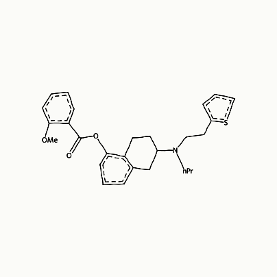 CCCN(CCc1cccs1)C1CCc2c(cccc2OC(=O)c2ccccc2OC)C1